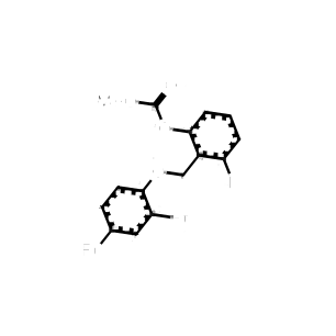 CCc1ccc(OCc2c(F)cccc2OC(=O)OC)c(CC)c1